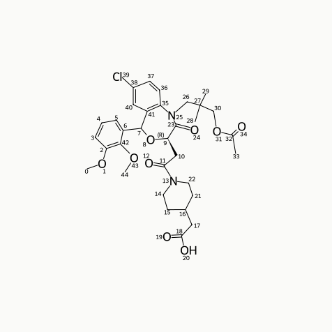 COc1cccc(C2O[C@H](CC(=O)N3CCC(CC(=O)O)CC3)C(=O)N(CC(C)(C)COC(C)=O)c3ccc(Cl)cc32)c1OC